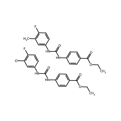 CCOC(=O)c1ccc(NC(=O)Nc2ccc(F)c(C)c2)cc1.CCOC(=O)c1ccc(NC(=O)Nc2ccc(F)c(Cl)c2)cc1